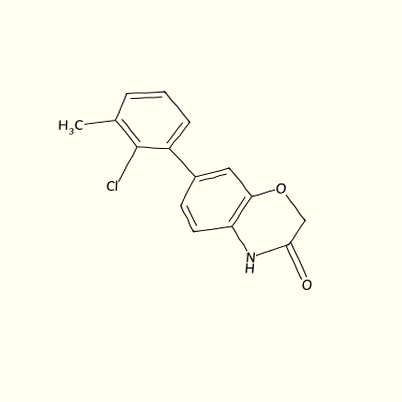 Cc1cccc(-c2ccc3c(c2)OCC(=O)N3)c1Cl